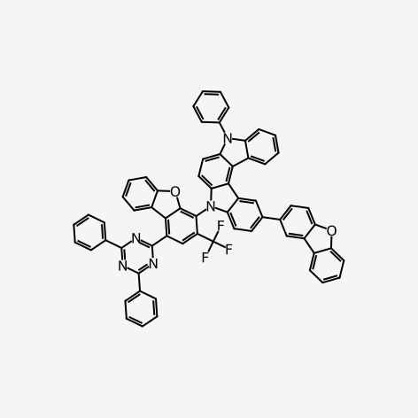 FC(F)(F)c1cc(-c2nc(-c3ccccc3)nc(-c3ccccc3)n2)c2c(oc3ccccc32)c1-n1c2ccc(-c3ccc4oc5ccccc5c4c3)cc2c2c3c4ccccc4n(-c4ccccc4)c3ccc21